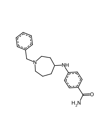 NC(=O)c1ccc(NC2CCCN(Cc3ccccc3)CC2)cc1